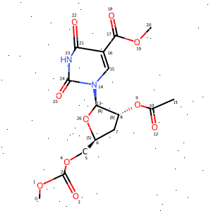 COC(=O)OC[C@@H]1C[C@@H](OC(C)=O)[C@H](n2cc(C(=O)OC)c(=O)[nH]c2=O)O1